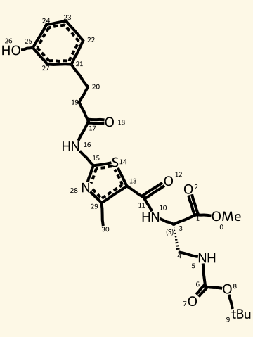 COC(=O)[C@H](CNC(=O)OC(C)(C)C)NC(=O)c1sc(NC(=O)CCc2cccc(O)c2)nc1C